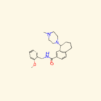 COc1ccccc1CNC(=O)c1ccc2c(c1)C(N1CCN(C)CC1)CCC2